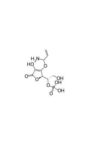 C=CC(N)OC1=C(O)C(=O)O[C@@H]1[C@H](CO)OP(=O)(O)O